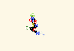 Cc1cc(Cl)cc(-c2ccnc3cc(Cn4c(=O)ccn(CC(F)(F)F)c4=O)sc23)c1OC1(C)CC(N)C1